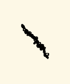 C=CC(=O)OCCCCCCOc1ccc2cc(C(=O)Oc3ccc(OC(=O)c4ccc5cc(OC(=O)c6ccc(OCC7(C)COC7)cc6)ccc5c4)c(CCC)c3)ccc2c1